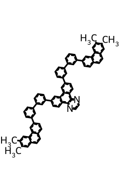 Cc1cc2ccc3ccc(-c4cccc(-c5cccc(-c6ccc7c(c6)c6cc(-c8cccc(-c9cccc(-c%10ccc%11ccc%12cc(C)c(C)cc%12c%11c%10)c9)c8)ccc6c6nccnc76)c5)c4)cc3c2cc1C